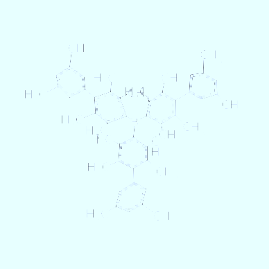 Cc1cc(C)cc(-c2c(C)c(C)c(B(c3c(C)c(C)c(-c4cc(C)cc(C)c4)c(C)c3C)c3c(C)c(C)c(-c4cc(C)cc(C)c4)c(C)c3C)c(C)c2C)c1